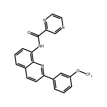 O=C(Nc1cccc2ccc(-c3cccc(OC(F)(F)F)c3)nc12)c1cnccn1